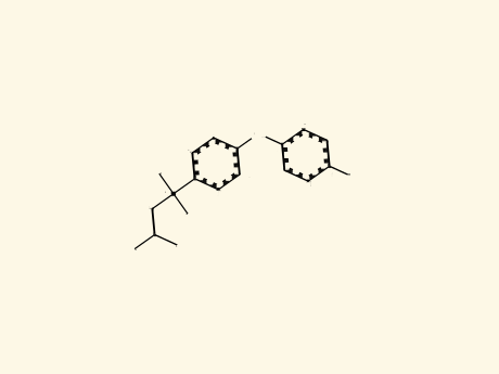 CC(C)CC(C)(C)c1ccc(Oc2ccc(F)cc2)cc1